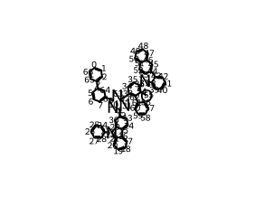 c1ccc(-c2cccc(-c3nc(-c4ccc5c6ccccc6n(-c6ccccc6)c5c4)nc(-c4ccc(-n5c6ccccc6c6cc7ccccc7cc65)c5oc6ccccc6c45)n3)c2)cc1